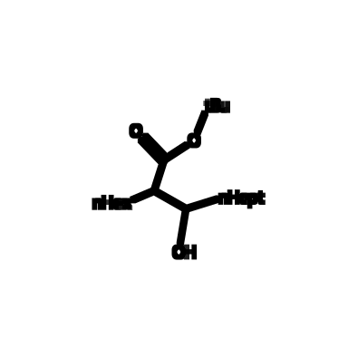 CCCCCCCC(O)C(CCCCCC)C(=O)OC(C)(C)C